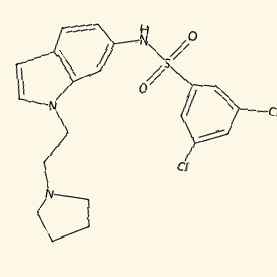 O=S(=O)(Nc1ccc2ccn(CCN3CCCC3)c2c1)c1cc(Cl)cc(Cl)c1